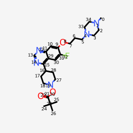 CN1CCN(CCCOc2cc3ncnc(C4CCN(OC(=O)C(C)(C)C)CC4)c3cc2F)CC1